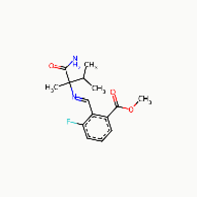 COC(=O)c1cccc(F)c1C=NC(C)(C(N)=O)C(C)C